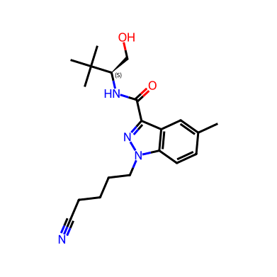 Cc1ccc2c(c1)c(C(=O)N[C@H](CO)C(C)(C)C)nn2CCCCC#N